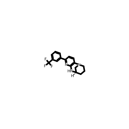 FC(F)(F)c1cccc(-c2ccc3c(n2)N[C@@H]2CCCN3C2)c1